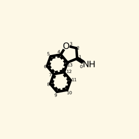 N=C1COc2ccc3ccccc3c21